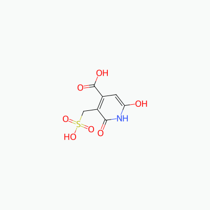 O=C(O)c1cc(O)[nH]c(=O)c1CS(=O)(=O)O